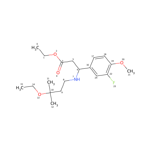 CCOC(=O)CC(NCCC(C)(C)OCC)c1ccc(OC)c(F)c1